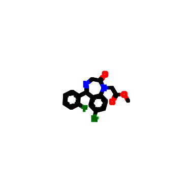 COC(=O)CN1C(=O)CN=C(c2ccccc2F)c2cc(Br)ccc21